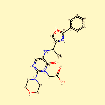 C[C@@H](Nc1cnc(N2CCOCC2)n(CC(=O)O)c1=O)c1coc(-c2ccccc2)n1